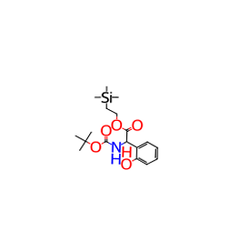 CC(C)(C)OC(=O)NC(C(=O)OCC[Si](C)(C)C)c1ccccc1O